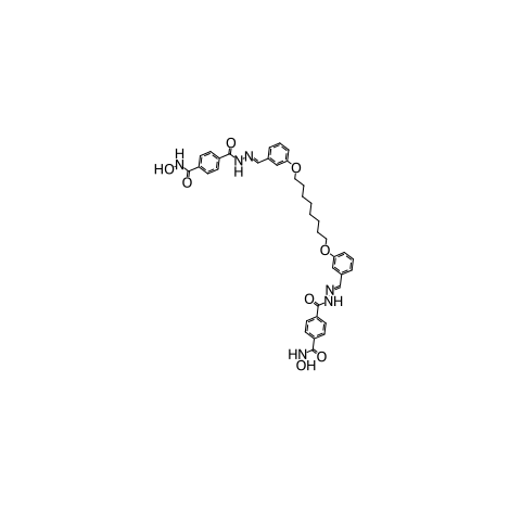 O=C(NO)c1ccc(C(=O)N/N=C/c2cccc(OCCCCCCCCOc3cccc(/C=N/NC(=O)c4ccc(C(=O)NO)cc4)c3)c2)cc1